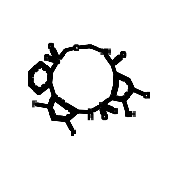 O=C1NCCCS(=O)(=O)c2ccccc2-c2cc(c(F)cc2F)NS(=O)(=O)c2cc1cc(Cl)c2O